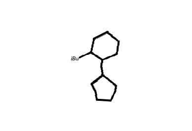 CCC(C)[C]1CCCCC1C1CCCC1